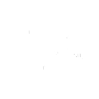 NC(=O)OCc1c(F)cccc1F